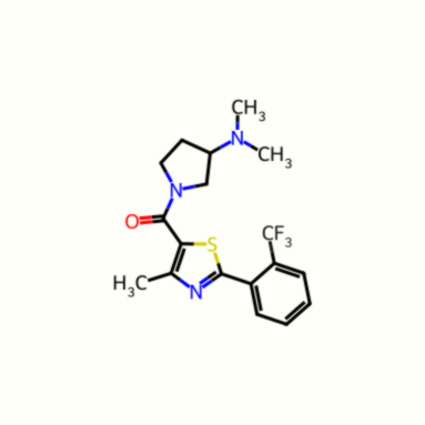 Cc1nc(-c2ccccc2C(F)(F)F)sc1C(=O)N1CCC(N(C)C)C1